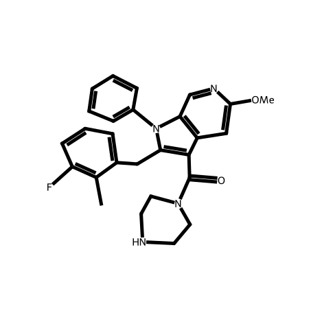 COc1cc2c(C(=O)N3CCNCC3)c(Cc3cccc(F)c3C)n(-c3ccccc3)c2cn1